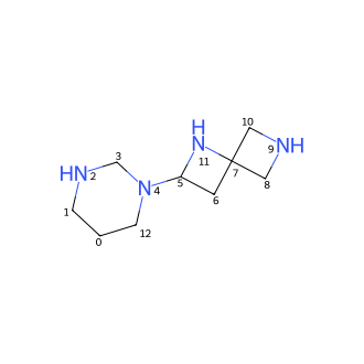 C1CNCN(C2CC3(CNC3)N2)C1